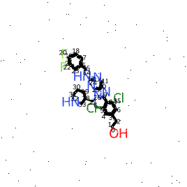 OCCc1cc(Cl)c(-c2nc3cnc(NCc4ccc(F)c(F)c4)nc3n2C[C@@H]2CCCNC2)c(Cl)c1